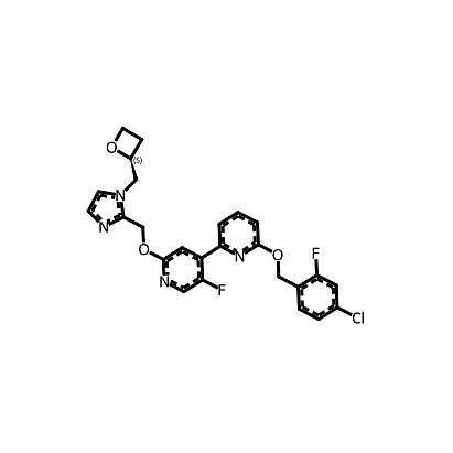 Fc1cc(Cl)ccc1COc1cccc(-c2cc(OCc3nccn3C[C@@H]3CCO3)ncc2F)n1